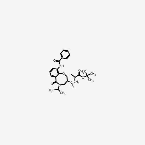 CC(C)N1C[C@H](C)[C@@H](CN(C)C(=O)OC(C)(C)C)Oc2c(NC(=O)c3ccncc3)cccc2C1=O